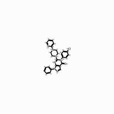 O=c1c2cnn(-c3ccccc3)c2nc(N2CCN(c3ccccn3)CC2)n1-c1ccc(Cl)cc1